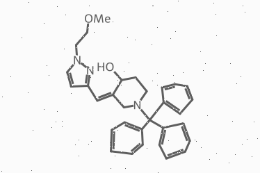 COCCn1ccc(C=C2CN(C(c3ccccc3)(c3ccccc3)c3ccccc3)CCC2O)n1